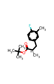 Cc1cc(C[C@H](C)C(=O)OC(C)(C)C)ccc1F